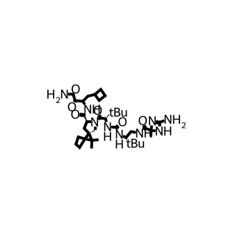 CC1(C(=O)NC[C@@H](NC(=O)N[C@H](C(=O)N2C[C@]3(C[C@H]2C(=O)NC(CC2CCC2)C(=O)C(N)=O)C(C)(C)C32CCC2)C(C)(C)C)C(C)(C)C)N=C(N)N1